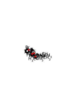 C[Si](C)(C)CCOCN(C(=O)O)C1=N[C@](CF)(c2cc(Br)ccc2F)[C@H]2C[C@@]2(Cn2cc([Si](C)(C)C)nn2)S1